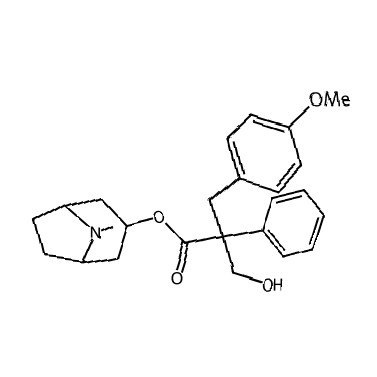 COc1ccc(CC(CO)(C(=O)OC2CC3CCC(C2)N3C)c2ccccc2)cc1